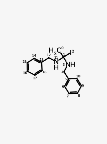 CC(I)(NCc1ccccc1)NCc1ccccc1